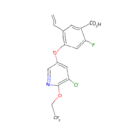 C=Cc1cc(C(=O)O)c(F)cc1Oc1cnc(OCC(F)(F)F)c(Cl)c1